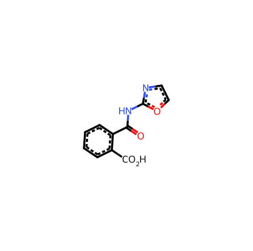 O=C(O)c1ccccc1C(=O)Nc1ncco1